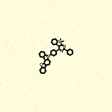 C[Si]1(C)c2ccccc2-c2c(-c3ccc(-n4c5ccccc5c5c6oc7ccccc7c6ccc54)cc3)nc(-c3ccccc3)nc21